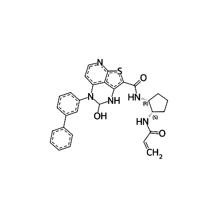 C=CC(=O)N[C@H]1CCC[C@H]1NC(=O)c1sc2nccc3c2c1NC(O)N3c1cccc(-c2ccccc2)c1